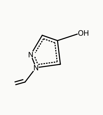 C=Cn1cc(O)cn1